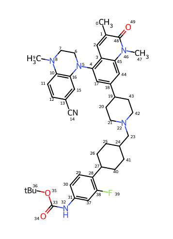 Cc1cc2c(N3CCN(C)c4ccc(C#N)cc43)cc(C3CCN(CC4CCC(c5ccc(NC(=O)OC(C)(C)C)cc5F)CC4)CC3)cc2n(C)c1=O